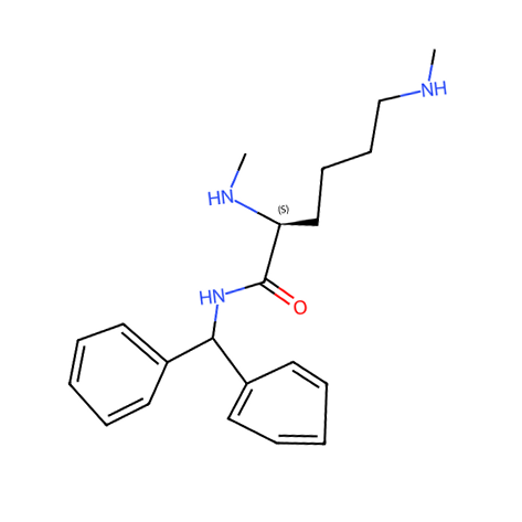 CNCCCC[C@H](NC)C(=O)NC(c1ccccc1)c1ccccc1